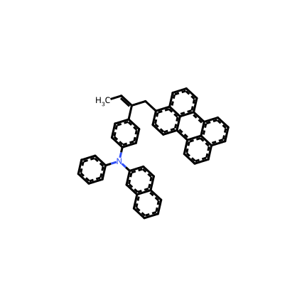 C/C=C(/Cc1ccc2c3cccc4cccc(c5cccc1c52)c43)c1ccc(N(c2ccccc2)c2ccc3ccccc3c2)cc1